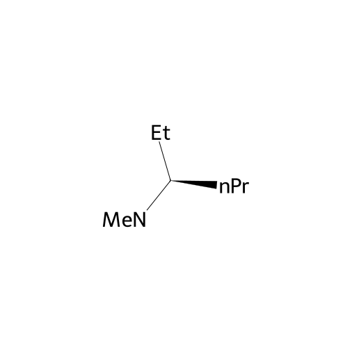 CCC[C@H](CC)NC